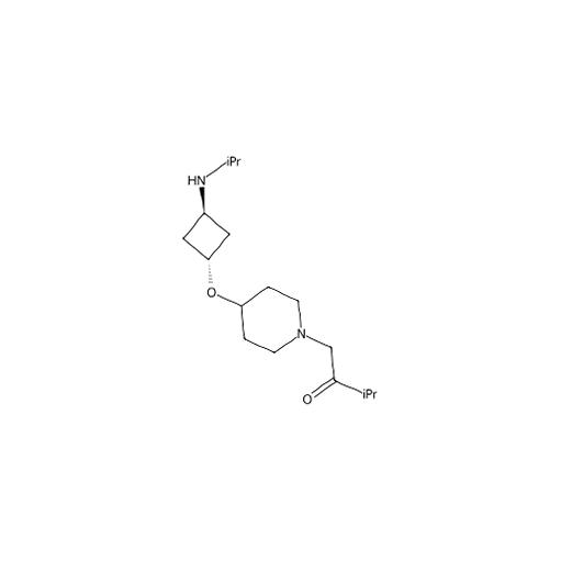 CC(C)N[C@H]1C[C@H](OC2CCN(CC(=O)C(C)C)CC2)C1